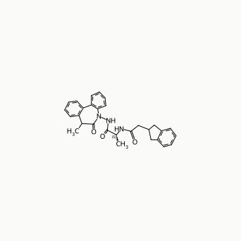 CC1C(=O)N(NC(=O)[C@H](C)NC(=O)CC2Cc3ccccc3C2)c2ccccc2-c2ccccc21